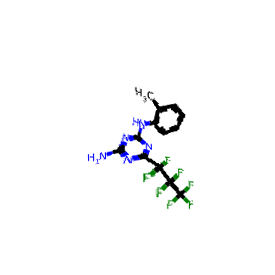 Cc1ccccc1Nc1nc(N)nc(C(F)(F)C(F)(F)C(F)(F)F)n1